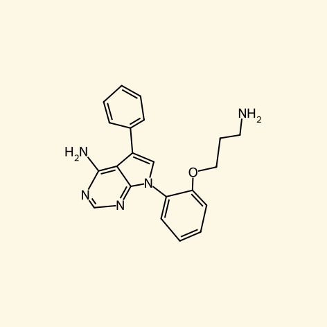 NCCCOc1ccccc1-n1cc(-c2ccccc2)c2c(N)ncnc21